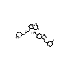 Fc1cccc(Cn2ncc3cc(Nc4ncnn5ccc(COCC6CCCNC6)c45)ccc32)c1